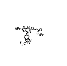 CCCc1cc2c(N3CCn4c(nnc4C(F)(F)F)C3)nc(OCCC(=O)OC(C)C)nc2s1